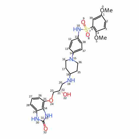 COc1ccc(OC)c(S(=O)(=O)Nc2ccc(N3CCC(NC[C@H](O)COc4cccc5[nH]c(=O)[nH]c45)CC3)cc2)c1